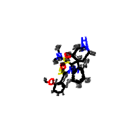 COc1ccccc1C(=S)NC(C1(c2ccccc2)CCNCC1)S(=O)(=O)N(C)C